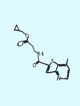 Cc1ccnc2cc(C(=O)NCCC(=O)OC3CC3)sc12